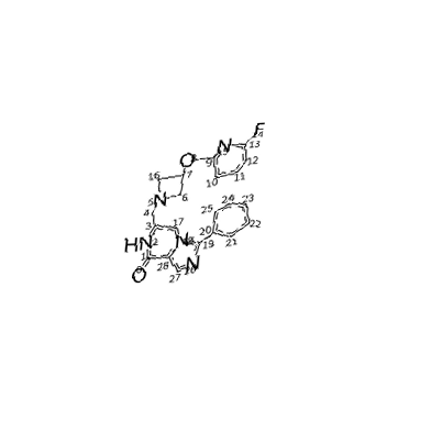 O=c1[nH]c(CN2CC(Oc3cccc(F)n3)C2)cn2c(-c3ccccc3)ncc12